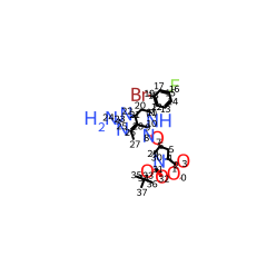 COC(=O)C1CC(ON=C2N[C@@H](c3ccc(F)cc3Br)Cc3nc(N)nc(C)c32)CN1C(=O)OC(C)(C)C